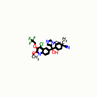 COc1nc2ccc(C(O)(C3=CCC(C)(C#N)C=C3)c3cncn3C)cc2c(Cl)c1OCC(F)(F)F